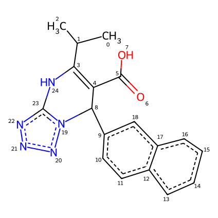 CC(C)C1=C(C(=O)O)C(c2ccc3ccccc3c2)n2nnnc2N1